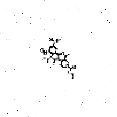 CCOC(=O)N1CCC(n2c(=O)c3cc([N+](=O)[O-])cc([N+](=O)[O-])c3n(CC)c2=O)C(CC)C1